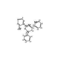 Brc1ccccc1N1CN(c2ccccc2)CC(c2ccccn2)=N1